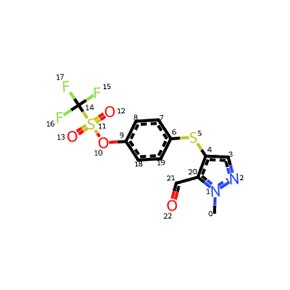 Cn1ncc(Sc2ccc(OS(=O)(=O)C(F)(F)F)cc2)c1C=O